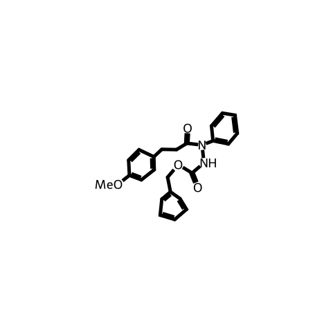 COc1ccc(CCC(=O)N(NC(=O)OCc2ccccc2)c2ccccc2)cc1